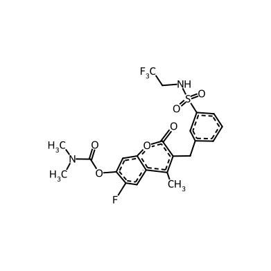 Cc1c(Cc2cccc(S(=O)(=O)NCC(F)(F)F)c2)c(=O)oc2cc(OC(=O)N(C)C)c(F)cc12